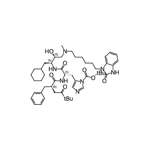 CN(CCCCCCn1c(=O)[nH]c2ccccc21)C[C@H](O)[C@H](CC1CCCCC1)NC(=O)[C@H](Cc1cncn1C(=O)OC(C)(C)C)NC(=O)[C@@H](CC(=O)C(C)(C)C)Cc1ccccc1